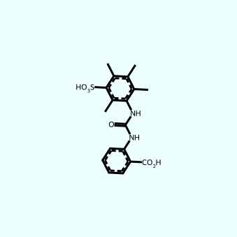 Cc1c(C)c(NC(=O)Nc2ccccc2C(=O)O)c(C)c(S(=O)(=O)O)c1C